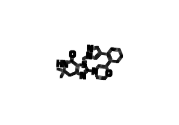 Cn1cc(C2=C(C3=CN(c4nc5c(s4)C(=O)NC(C)(C)C5)C=CO3)CCC=C2)cn1